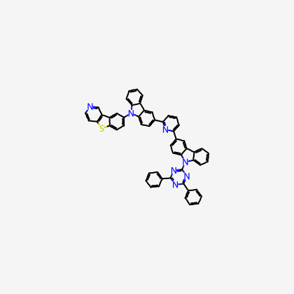 c1ccc(-c2nc(-c3ccccc3)nc(-n3c4ccccc4c4cc(-c5cccc(-c6ccc7c(c6)c6ccccc6n7-c6ccc7sc8ccncc8c7c6)n5)ccc43)n2)cc1